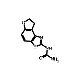 NC(=O)Nc1nc2c3c(ccc2s1)OCC3